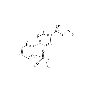 CCOC(=O)c1ccc(-c2ncccc2S(=O)(=O)CC)nn1